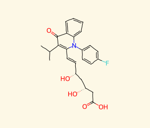 CC(C)c1c(/C=C/[C@@H](O)C[C@@H](O)CC(=O)O)n(-c2ccc(F)cc2)c2ccccc2c1=O